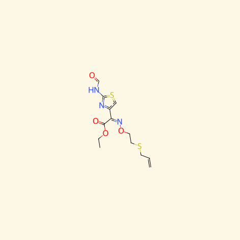 C=CCSCCON=C(C(=O)OCC)c1csc(NC=O)n1